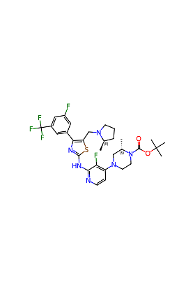 C[C@@H]1CCCN1Cc1sc(Nc2nccc(N3CCN(C(=O)OC(C)(C)C)[C@@H](C)C3)c2F)nc1-c1cc(F)cc(C(F)(F)F)c1